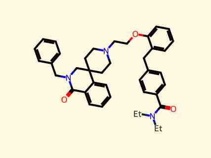 CCN(CC)C(=O)c1ccc(Cc2ccccc2OCCN2CCC3(CC2)CN(Cc2ccccc2)C(=O)c2ccccc23)cc1